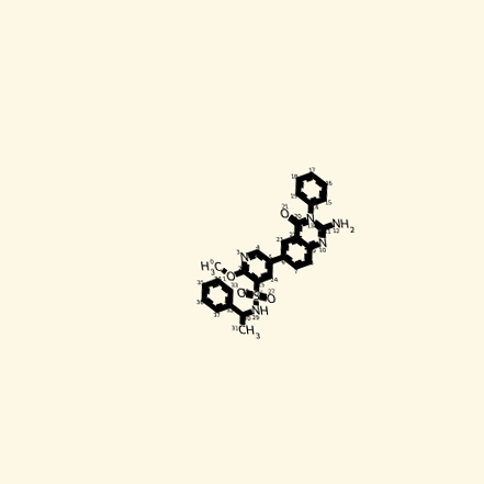 COc1ncc(-c2ccc3nc(N)n(-c4ccccc4)c(=O)c3c2)cc1S(=O)(=O)NC(C)c1ccccc1